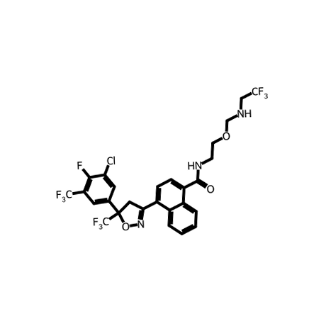 O=C(NCCOCNCC(F)(F)F)c1ccc(C2=NOC(c3cc(Cl)c(F)c(C(F)(F)F)c3)(C(F)(F)F)C2)c2ccccc12